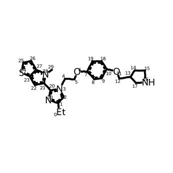 CCc1cn(CCOc2ccc(OCC3CCNC3)cc2)c(-c2cc3sccc3n2C)n1